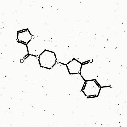 O=C(c1ncco1)N1CCN(C2CC(=O)N(c3cccc(I)c3)C2)CC1